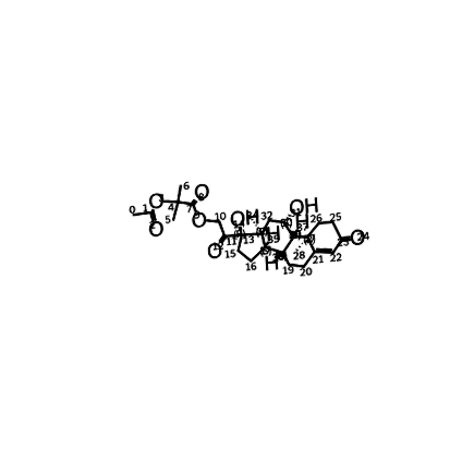 CC(=O)OC(C)(C)C(=O)OCC(=O)[C@@]1(O)CC[C@H]2[C@@H]3CCC4=CC(=O)CC[C@]4(C)[C@H]3[C@@H](O)C[C@@]21C